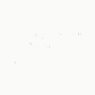 Cc1nc(-c2ccc(C(F)(F)F)cc2)sc1[C@H](C)Oc1ccc2c(ccn2CC(=O)O)c1